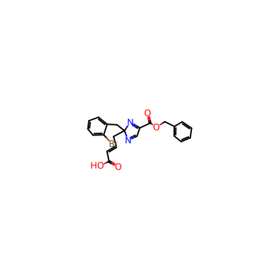 O=C(O)/C=C/CC1(Cc2ccccc2Br)N=CC(C(=O)OCc2ccccc2)=N1